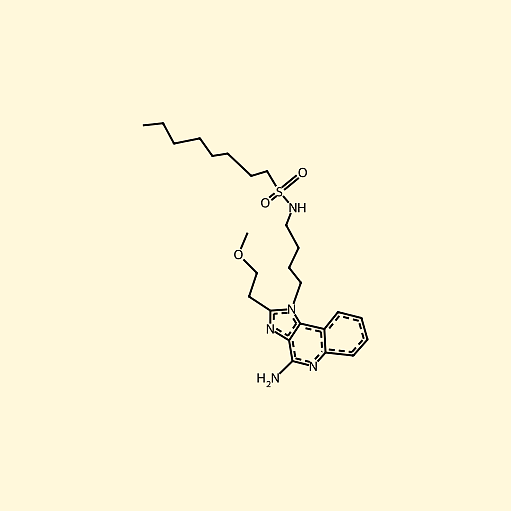 CCCCCCCCS(=O)(=O)NCCCCn1c(CCOC)nc2c(N)nc3ccccc3c21